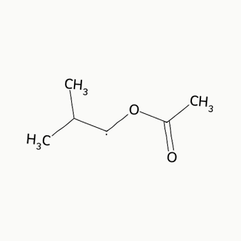 CC(=O)O[CH]C(C)C